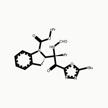 CCCOC(=O)N1c2ccccc2C[C@H]1[C@](NC=O)(C(=O)c1nnc(C(C)(C)C)o1)C(C)C